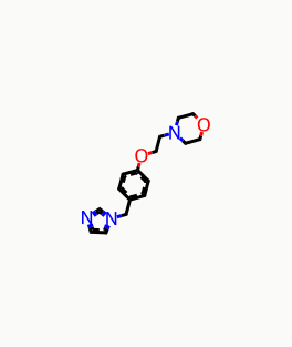 c1cn(Cc2ccc(OCCN3CCOCC3)cc2)cn1